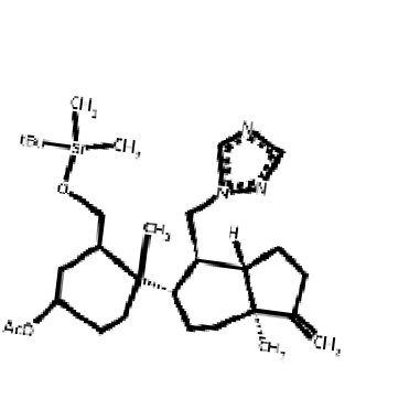 C=C1CC[C@H]2[C@H](Cn3cncn3)[C@@H](C3(C)CCC(OC(C)=O)CC3CO[Si](C)(C)C(C)(C)C)CC[C@]12C